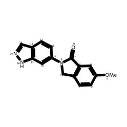 COc1ccc2c(c1)C(=O)N(c1ccc3cn[nH]c3c1)C2